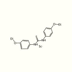 CCOc1ccc(NC(=S)Nc2ccc(OCC)cc2)cc1.[Sc]